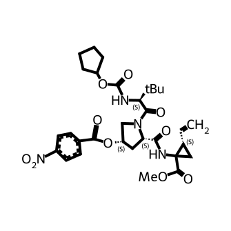 C=C[C@@H]1CC1(NC(=O)[C@@H]1C[C@H](OC(=O)c2ccc([N+](=O)[O-])cc2)CN1C(=O)[C@@H](NC(=O)OC1CCCC1)C(C)(C)C)C(=O)OC